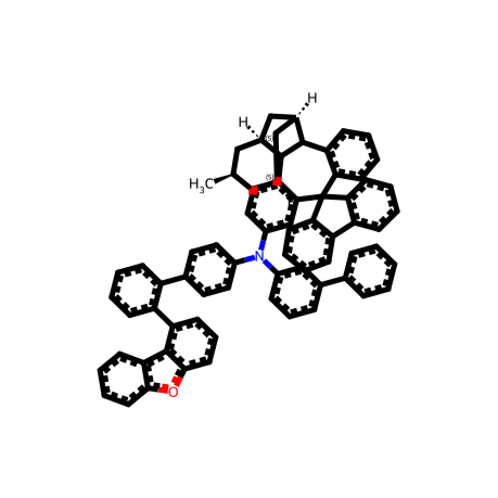 C[C@H]1C[C@H]2C[C@@H]3C[C@H](C1)C21c2ccc(N(c4ccc(-c5ccccc5-c5cccc6oc7ccccc7c56)cc4)c4cccc(-c5ccccc5)c4)cc2C2(c4ccccc4-c4ccccc42)c2ccccc2C31